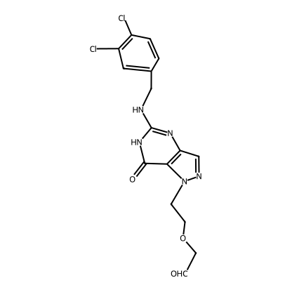 O=CCOCCn1ncc2nc(NCc3ccc(Cl)c(Cl)c3)[nH]c(=O)c21